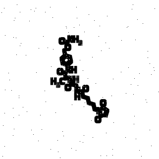 CC(NC(=O)CNC(=O)CCCCCN1C(=O)C=CC1=O)C(=O)Nc1ccc(COC(N)=O)cc1